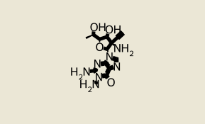 C#C[C@@]1(N)C(O)[C@@H]([C@@H](C)O)O[C@H]1n1cnc2c(=O)n(N)c(N)nc21